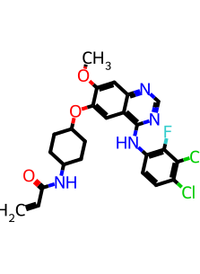 C=CC(=O)NC1CCC(Oc2cc3c(Nc4ccc(Cl)c(Cl)c4F)ncnc3cc2OC)CC1